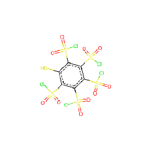 O=S(=O)(Cl)c1c(S)c(S(=O)(=O)Cl)c(S(=O)(=O)Cl)c(S(=O)(=O)Cl)c1S(=O)(=O)Cl